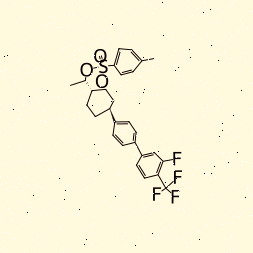 Cc1ccc(S(=O)(=O)OC(C)[C@H]2CC[C@H](c3ccc(-c4ccc(C(F)(F)F)c(F)c4)cc3)CC2)cc1